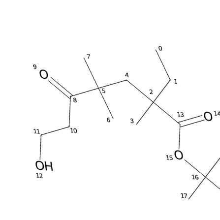 CCC(C)(CC(C)(C)C(=O)CCO)C(=O)OC(C)(C)C